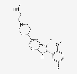 CNCCN1CCC(c2ccc3[nH]c(-c4cc(F)ccc4OC)c(F)c3c2)CC1